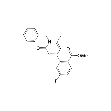 COC(=O)c1ccc(F)cc1-c1cc(C)n(Cc2ccccc2)c(=O)c1